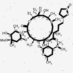 CC[C@H]1OC(=O)[C@H](C)[C@@H](O[C@H]2C[C@@](C)(OC)[C@@H](O)[C@H](C)O2)[C@H](C)[C@@H](O[C@@H]2O[C@H](C)C[C@H](N(C)C)[C@H]2OC(=O)CCCC[C@@H]2CC[S+]([O-])S2)[C@](C)(O)C[C@@H](C)CN(C)[C@H](C)[C@@H](O)[C@]1(C)O